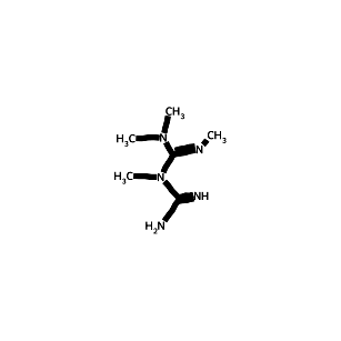 C/N=C(\N(C)C)N(C)C(=N)N